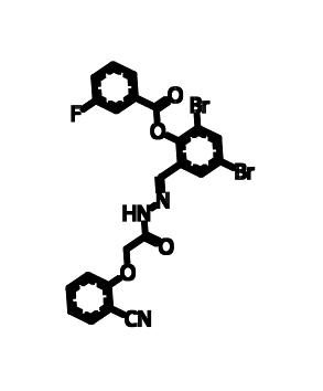 N#Cc1ccccc1OCC(=O)NN=Cc1cc(Br)cc(Br)c1OC(=O)c1cccc(F)c1